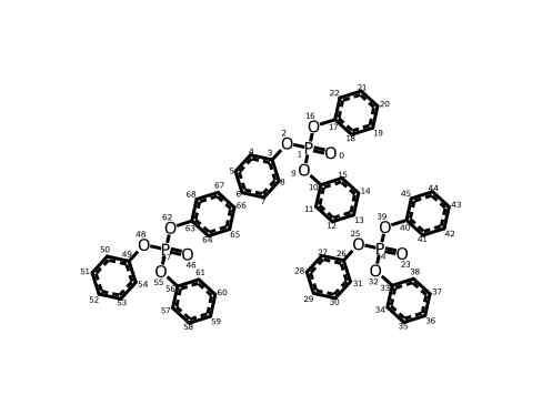 O=P(Oc1ccccc1)(Oc1ccccc1)Oc1ccccc1.O=P(Oc1ccccc1)(Oc1ccccc1)Oc1ccccc1.O=P(Oc1ccccc1)(Oc1ccccc1)Oc1ccccc1